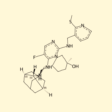 CSc1ncccc1CNc1ncc(F)c(NC[C@]23CC4C[C@H](C2)[C@@H](NC[C@H]2CC[C@](C)(O)CC2)[C@@H](C4)C3)n1